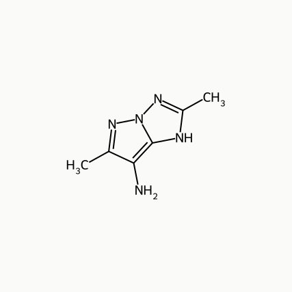 Cc1nn2nc(C)c(N)c2[nH]1